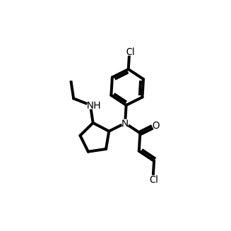 CCNC1CCCC1N(C(=O)C=CCl)c1ccc(Cl)cc1